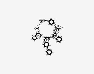 O=C1CCC(=O)N[C@H](CC2CC=CS2)C(=O)N[C@H](Cc2ccc(-c3ccccc3)cc2)C(=O)N[C@@H](Cc2ccccc2)C(=O)N[C@@H](C(=O)O)Cc2ccc(cc2)N1